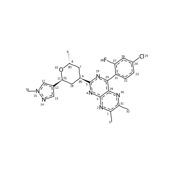 Cc1nc2nc([C@@H]3C[C@@H](C)O[C@H](c4cnn(C)c4)C3)nc(-c3ccc(Cl)cc3F)c2nc1C